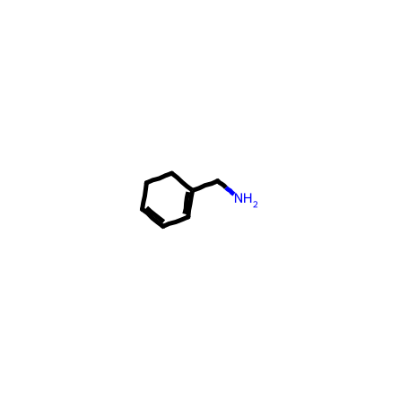 NCC1=CC=CCC1